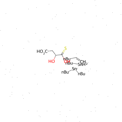 C=CCCCC.CCC[CH2][SnH].CCC[CH2][Sn][CH2]CCC.O=C(O)CC(O)C(O)=S